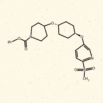 CC(C)OC(=O)N1CCC(O[C@H]2CC[C@H](Oc3ccc(S(C)(=O)=O)nc3)CC2)CC1